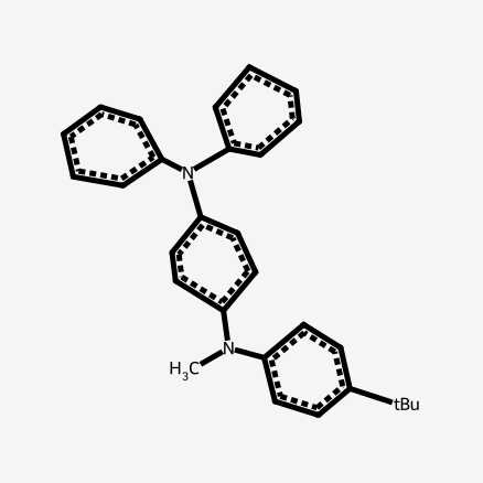 CN(c1ccc(N(c2ccccc2)c2ccccc2)cc1)c1ccc(C(C)(C)C)cc1